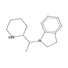 CC(C1CCCCN1)N1CCc2cc[c]cc21